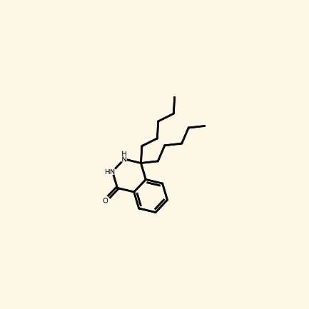 CCCCCC1(CCCCC)NNC(=O)c2ccccc21